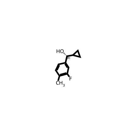 Cc1ccc([C@H](O)C2CC2)cc1F